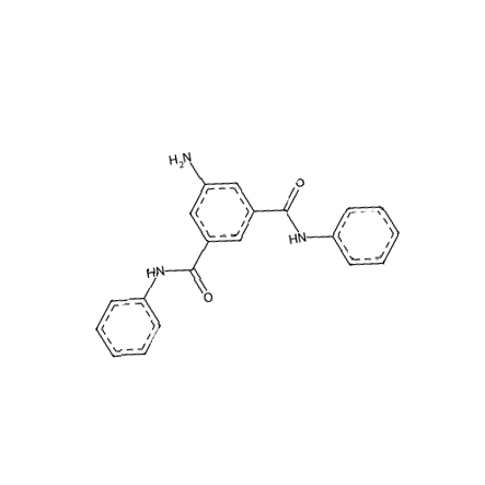 Nc1cc(C(=O)Nc2ccccc2)cc(C(=O)Nc2ccccc2)c1